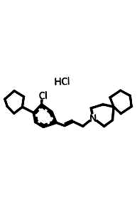 Cl.Clc1cc(/C=C/CN2CCC3(CCCCC3)CC2)ccc1C1CCCCC1